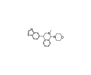 CN1CC(c2ccc3scnc3c2)c2ccccc2C1N1CCOCC1